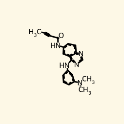 CC#CC(=O)Nc1ccc2ncnc(Nc3cccc(N(C)C)c3)c2c1